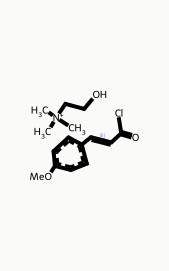 COc1ccc(/C=C/C(=O)Cl)cc1.C[N+](C)(C)CCO